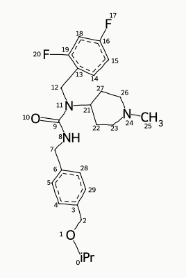 CC(C)OCc1ccc(CNC(=O)N(Cc2ccc(F)cc2F)C2CCN(C)CC2)cc1